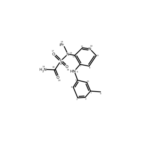 Cc1cccc(Nc2ccncc2N(C(C)C)S(=O)(=O)C(N)=O)c1